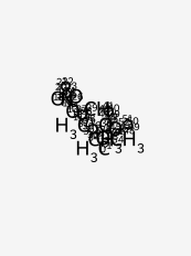 CC[C@H]1O[C@@H](c2cc(Cc3ccc(OCCN4C(=O)c5ccccc5C4=O)cc3C)c(C)cc2C)[C@H](OCc2ccccc2)[C@@H](OCc2ccccc2)[C@@H]1C